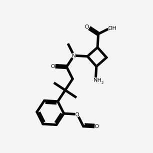 CN(C(=O)CC(C)(C)c1ccccc1OC=O)C1C(N)CC1C(=O)O